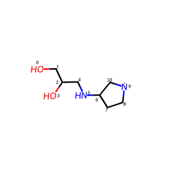 OCC(O)CNC1CC[N]C1